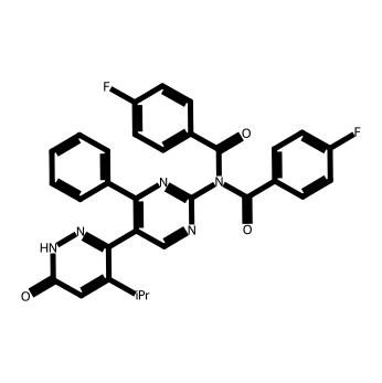 CC(C)c1cc(=O)[nH]nc1-c1cnc(N(C(=O)c2ccc(F)cc2)C(=O)c2ccc(F)cc2)nc1-c1ccccc1